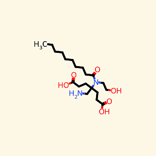 CCCCCCCCCC(=O)N(CCO)C(CN)(CCC(=O)O)CCC(=O)O